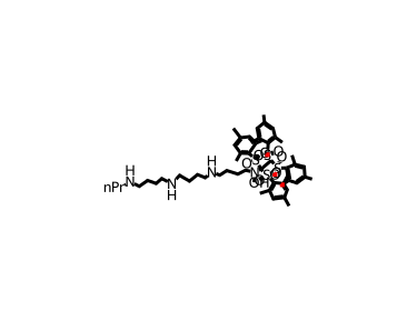 CCCNCCCCNCCCCNCCCCN(O)C(C(S(=O)(=O)c1c(C)cc(C)cc1C)S(=O)(=O)c1c(C)cc(C)cc1C)(S(=O)(=O)c1c(C)cc(C)cc1C)S(=O)(=O)c1c(C)cc(C)cc1C